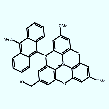 COc1cc2c3c(c1)Oc1cc(OC)cc4c1[Si]3(C)c1c(cc(CO)cc1N4c1c3ccccc3c(OC)c3ccccc13)O2